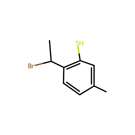 Cc1ccc(C(C)Br)c(S)c1